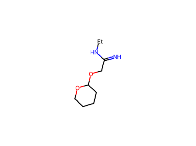 CCNC(=N)COC1CCCCO1